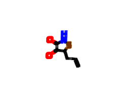 C=CCC1SNC(=O)C1=O